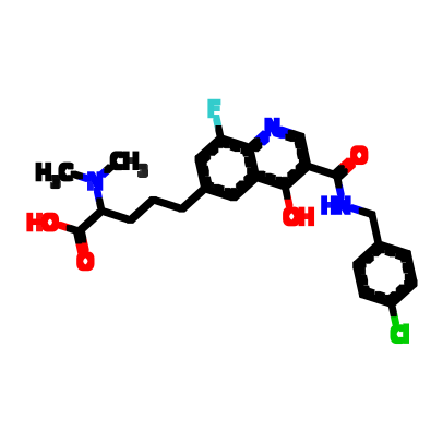 CN(C)C(CCCc1cc(F)c2ncc(C(=O)NCc3ccc(Cl)cc3)c(O)c2c1)C(=O)O